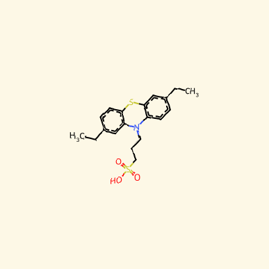 CCc1ccc2c(c1)Sc1ccc(CC)cc1N2CCCS(=O)(=O)O